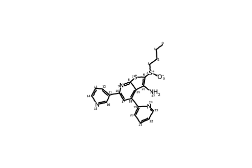 CCCC[S@@+]([O-])c1sc2nc(-c3cccnc3)cc(-c3ccccn3)c2c1N